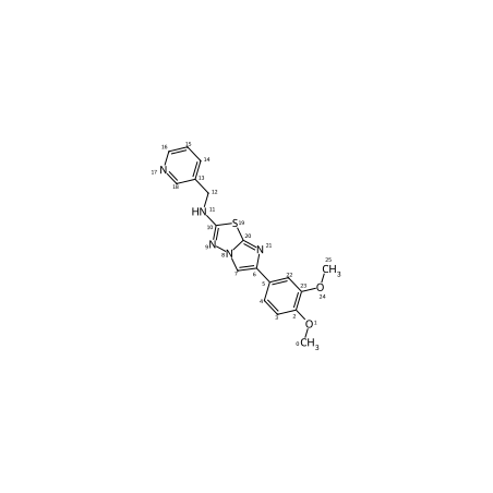 COc1ccc(-c2cn3nc(NCc4cccnc4)sc3n2)cc1OC